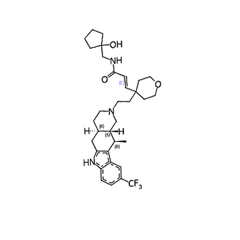 C[C@H]1c2c([nH]c3ccc(C(F)(F)F)cc23)C[C@H]2CCN(CCC3(/C=C/C(=O)NCC4(O)CCCC4)CCOCC3)C[C@@H]21